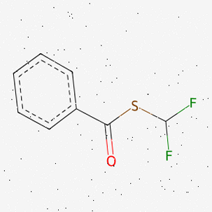 O=C(SC(F)F)c1ccccc1